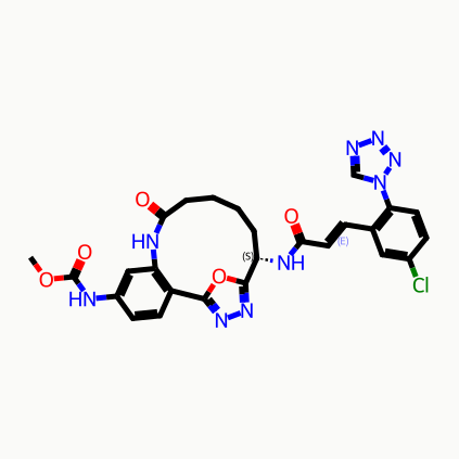 COC(=O)Nc1ccc2c(c1)NC(=O)CCCC[C@H](NC(=O)/C=C/c1cc(Cl)ccc1-n1cnnn1)c1nnc-2o1